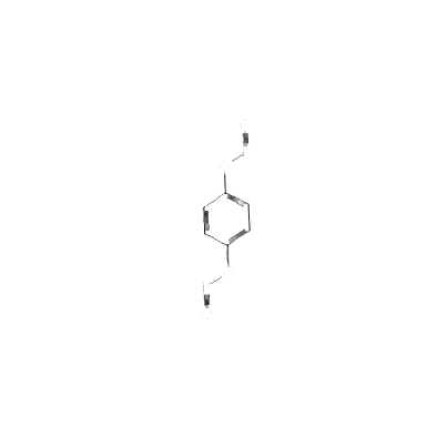 O=POc1ccc(OP=O)cc1